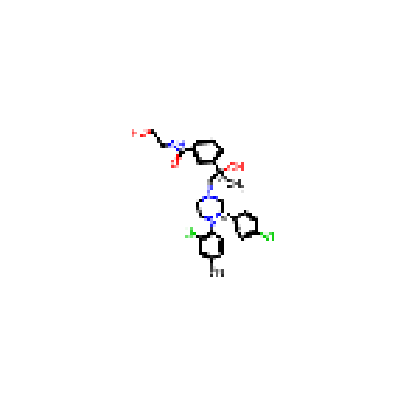 C[C@@](O)(CN1CCN(c2ccc(C#N)cc2Cl)[C@H](c2ccc(Cl)cc2)C1)c1cccc(C(=O)NCCO)c1